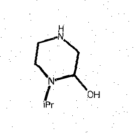 CC(C)N1CCNCC1O